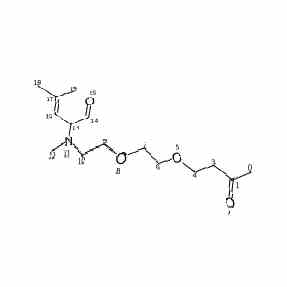 CC(=O)CCOCCOCCN(C)C(C=O)C=C(C)C